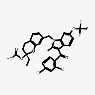 CC[C@@]1(OC(=O)O)CCc2ccc(Cn3c(C)c(C(=O)c4ccc(Cl)cc4Cl)c4ccc(OC(F)(F)F)cc43)cc2O1